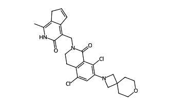 Cc1[nH]c(=O)c(CN2CCc3c(Cl)cc(N4CC5(CCOCC5)C4)c(Cl)c3C2=O)c2c1CC=C2